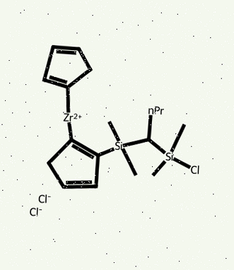 CCCC([Si](C)(C)Cl)[Si](C)(C)C1=[C]([Zr+2][C]2=CC=CC2)CC=C1.[Cl-].[Cl-]